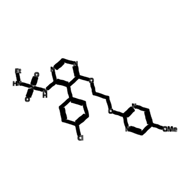 CCNS(=O)(=O)Nc1ncnc(OCCOc2ncc(OC)cn2)c1-c1ccc(Cl)cc1